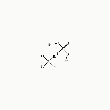 CCOP(=S)([S-])OCC.CC[P+](CC)(CC)CC